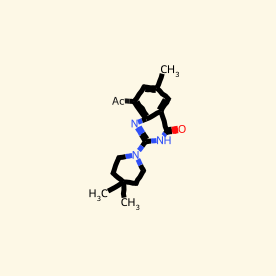 CC(=O)c1cc(C)cc2c(=O)[nH]c(N3CCC(C)(C)CC3)nc12